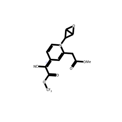 COC(=O)CC1=C/C(=C(/C#N)C(=O)OC(F)(F)F)C=CN1C1C2OC21